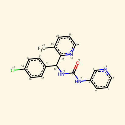 O=C(Nc1cccnc1)NC(c1ccc(Cl)cc1)c1ncccc1C(F)(F)F